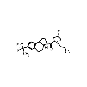 N#CCCN1CC(F)CC1C(=O)N1CCC2c3ccc(C(F)(C(F)(F)F)C(F)(F)F)cc3CC[C@H]21